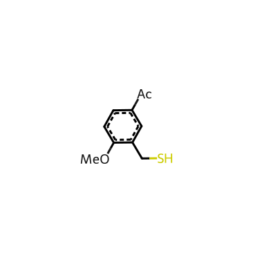 COc1ccc(C(C)=O)cc1CS